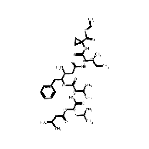 CCOC(=O)C1(NC(=O)[C@@H](NC(=O)CC(N)C(Cc2ccccc2)NC(=O)[C@@H](NC(=O)[C@H](CC(C)C)NC(=O)CC(C)C)C(C)C)[C@@H](C)CC)CC1